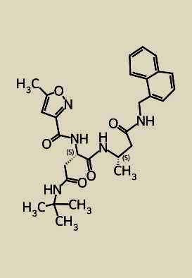 Cc1cc(C(=O)N[C@@H](CC(=O)NC(C)(C)C)C(=O)N[C@@H](C)CC(=O)NCc2cccc3ccccc23)no1